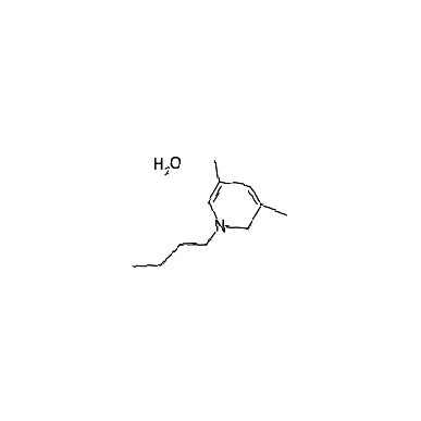 CCCCN1C=C(C)C=C(C)C1.O